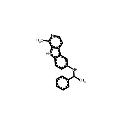 Cc1nccc2c1[nH]c1ccc(NC(C)c3ccccc3)cc12